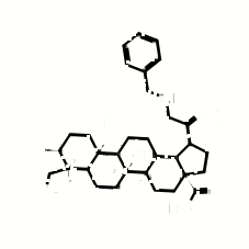 C=C(CNCc1ccccc1)C1CC[C@]2(C(=O)O)CC[C@]3(C)C(CCC4[C@@]5(C)CC[C@H](O)[C@@](C)(CO)C5CC[C@]43C)C12